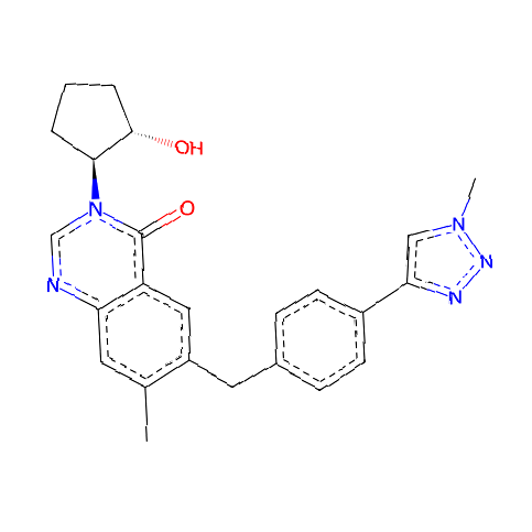 Cc1cc2ncn([C@H]3CCC[C@@H]3O)c(=O)c2cc1Cc1ccc(-c2cn(C)nn2)cc1